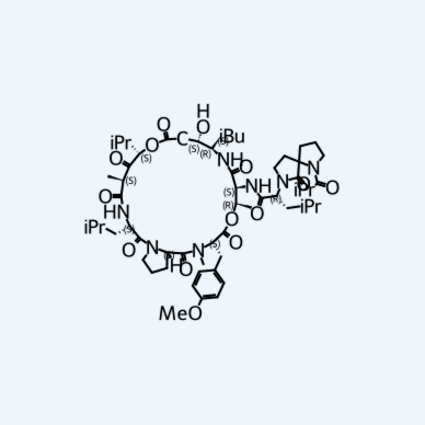 CC[C@H](C)[C@H]1NC(=O)[C@@H](NC(=O)[C@@H](CC(C)C)N2CCC3(CCCN3C(=O)C(C)C)C2=O)[C@@H](C)OC(=O)[C@H](Cc2ccc(OC)cc2)N(C)C(=O)[C@@H]2CCCN2C(=O)[C@H](CC(C)C)NC(=O)[C@@H](C)C(=O)[C@H](C(C)C)OC(=O)C[C@@H]1O